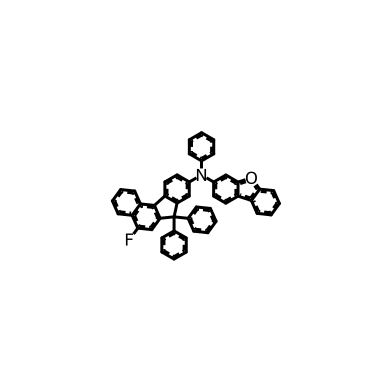 Fc1cc2c(c3ccccc13)-c1ccc(N(c3ccccc3)c3ccc4c(c3)oc3ccccc34)cc1C2(c1ccccc1)c1ccccc1